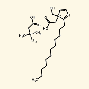 CCCCCCCCCCCCC1=NC=C[N+]1(CO)CC(=O)O.C[N+](C)(C)CC(=O)O